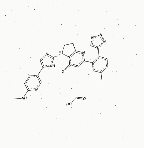 CNc1ccc(-c2cnc([C@@H]3CCc4nc(-c5cc(C)ccc5-n5cnnn5)cc(=O)n43)[nH]2)cn1.O=CO